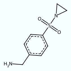 NCc1ccc(S(=O)(=O)N2CC2)cc1